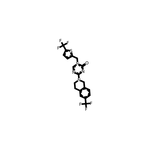 O=c1nc(N2CCc3cc(C(F)(F)F)ccc3C2)ncn1Cc1ccc(C(F)(F)F)s1